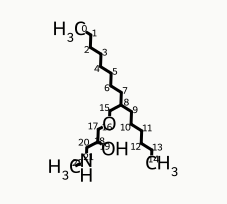 CCCCCCCCC(CCCCCC)COCC(O)CNC